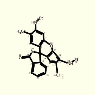 CCNc1cc2c(cc1C)C1(SC(=O)c3ccccc31)c1cc(C)c(NCC)cc1O2